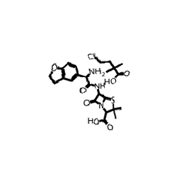 CC(C)(CCCl)C(=O)O.CC1(C)SC2C(NC(=O)C(N)c3ccc4c(c3)CCO4)C(=O)N2C1C(=O)O